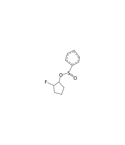 O=S(OC1CCCC1F)c1ccccc1